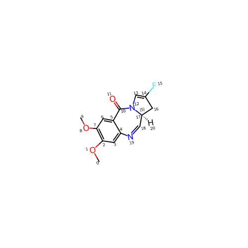 COc1cc2c(cc1OC)C(=O)N1C=C(F)C[C@H]1C=N2